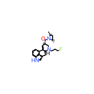 C[C@H]1C[C@H](C)N1C(=O)[C@@H]1C=C2c3cccc4[nH]cc(c34)C[C@H]2N(CCCF)C1